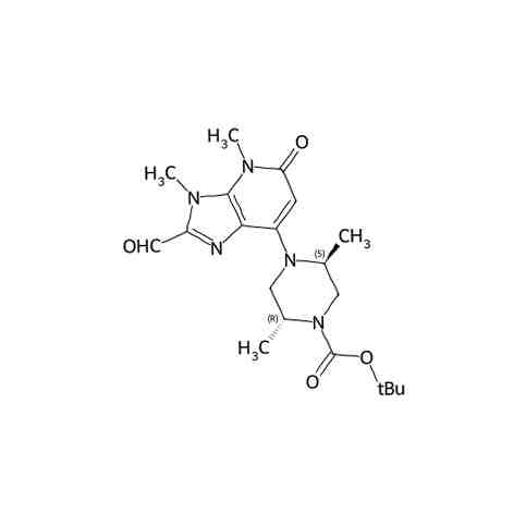 C[C@@H]1CN(c2cc(=O)n(C)c3c2nc(C=O)n3C)[C@@H](C)CN1C(=O)OC(C)(C)C